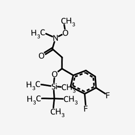 CON(C)C(=O)CC(O[Si](C)(C)C(C)(C)C)c1ccc(F)c(F)c1